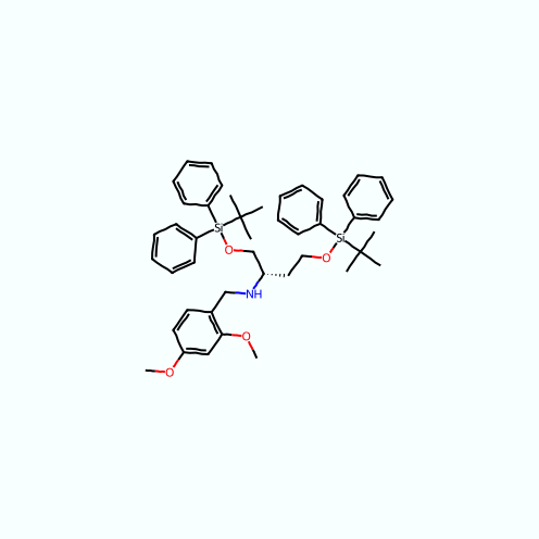 COc1ccc(CN[C@@H](CCO[Si](c2ccccc2)(c2ccccc2)C(C)(C)C)CO[Si](c2ccccc2)(c2ccccc2)C(C)(C)C)c(OC)c1